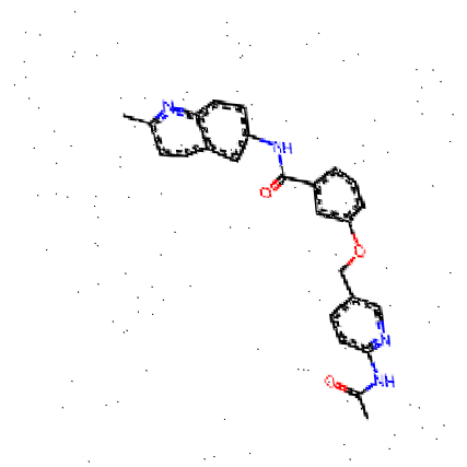 CC(=O)Nc1ccc(COc2cccc(C(=O)Nc3ccc4nc(C)ccc4c3)c2)cn1